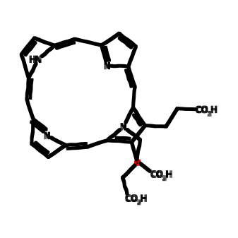 O=C(O)CCc1c(CCC(=O)O)c2cc3nc(cc4ccc(cc5nc(cc1n2CCC(=O)O)C=C5)[nH]4)C=C3